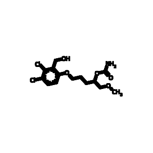 COCC(CCCOc1ccc(Cl)c(Cl)c1CO)OC(N)=O